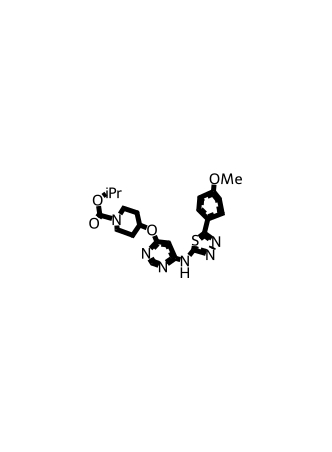 COc1ccc(-c2nnc(Nc3cc(OC4CCN(C(=O)OC(C)C)CC4)ncn3)s2)cc1